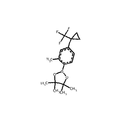 Cc1cc(C2(C(F)(F)F)CC2)ccc1B1OC(C)(C)C(C)(C)O1